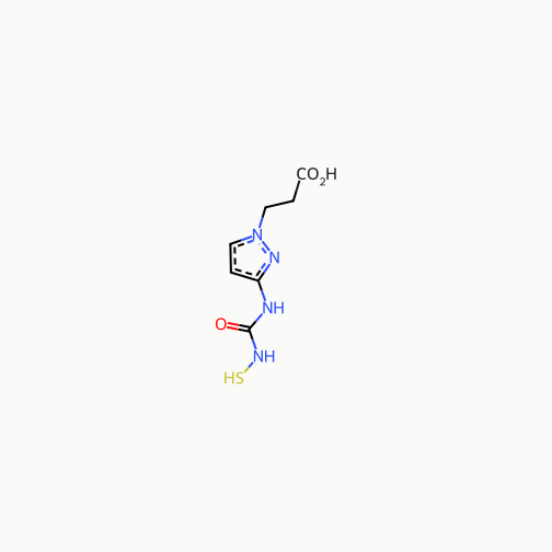 O=C(O)CCn1ccc(NC(=O)NS)n1